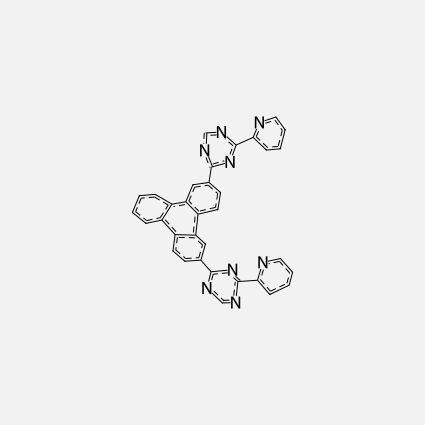 c1ccc(-c2ncnc(-c3ccc4c(c3)c3ccccc3c3ccc(-c5ncnc(-c6ccccn6)n5)cc34)n2)nc1